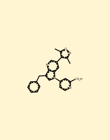 Cc1noc(C)c1-c1cnc2c(Cc3ccccc3)cn(-c3ccnc(C(=O)O)c3)c2c1